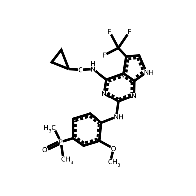 COc1cc(P(C)(C)=O)ccc1Nc1nc(NCC2CC2)c2c(C(F)(F)F)c[nH]c2n1